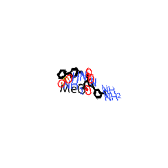 COC(=O)CC1(C(=O)NCc2ccc(-c3ccccc3S(N)(=O)=O)cc2)CC(c2cccc(C(=N)N)c2)=NO1